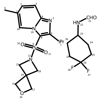 Cc1ccc2nc(C(C)C)c(S(=O)(=O)N3CC4(COC4)C3)n2c1.O=CNC1CCC(F)(F)CC1